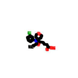 C#CC(=O)N(c1cccc(Cl)c1)C1(C(=O)CCCC(=O)O)CCOCC1